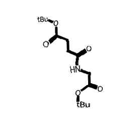 CC(C)(C)OC(=O)CCC(=O)NCC(=O)OC(C)(C)C